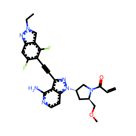 C=CC(=O)N1C[C@@H](n2nc(C#Cc3c(F)cc4nn(CC)cc4c3F)c3c(N)nccc32)C[C@@H]1COC